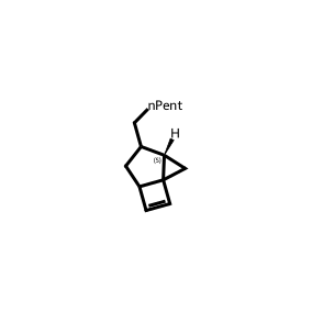 CCCCCCC1CC2C=CC23C[C@@H]13